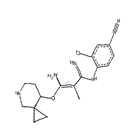 C/C(C(=N)Nc1ccc(C#N)cc1Cl)=C(/N)OC1CCNCC12CC2